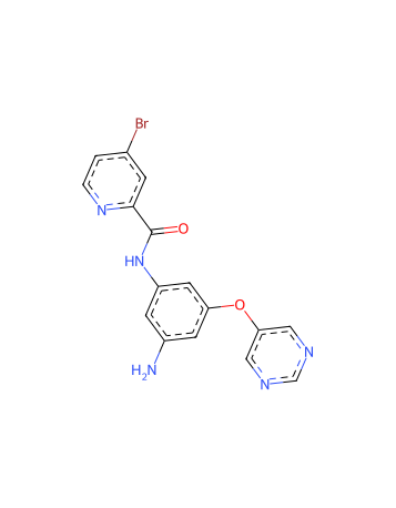 Nc1cc(NC(=O)c2cc(Br)ccn2)cc(Oc2cncnc2)c1